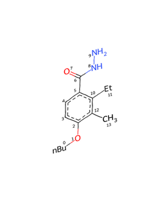 CCCCOc1ccc(C(=O)NN)c(CC)c1C